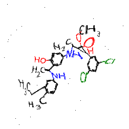 C=C(Nc1ccc(C)c(CC)c1)c1cc(NC(=C)C2C(c3cc(Cl)cc(Cl)c3)C2(O)OC)ccc1O